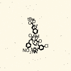 Cn1c(C(=O)OC(C)(C)C)cc2cc(NC(=O)[C@H](Cc3ccc([N+](=O)[O-])cc3)N3CCN(c4cc(Cl)ccc4-n4cnnn4)C(=O)C3=O)ccc21